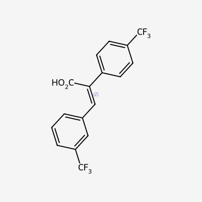 O=C(O)/C(=C\c1cccc(C(F)(F)F)c1)c1ccc(C(F)(F)F)cc1